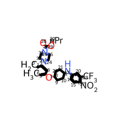 C=C/C(=C\C(=C/C)O[C@H]1CC[C@H](Nc2ccc([N+](=O)[O-])c(C(F)(F)F)c2)CC1)N1CCN(C(=O)OCCC)CC1